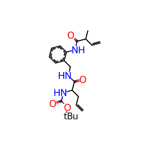 C=CCC(NC(=O)OC(C)(C)C)C(=O)NCc1ccccc1NC(=O)C(C)C=C